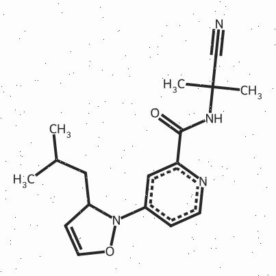 CC(C)CC1C=CON1c1ccnc(C(=O)NC(C)(C)C#N)c1